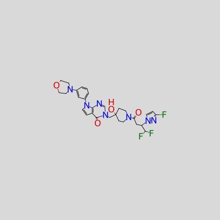 O=C(CC(C(F)F)n1ccc(F)n1)N1CCC(O)(Cn2cnc3c(ccn3-c3cccc(N4CCOCC4)c3)c2=O)CC1